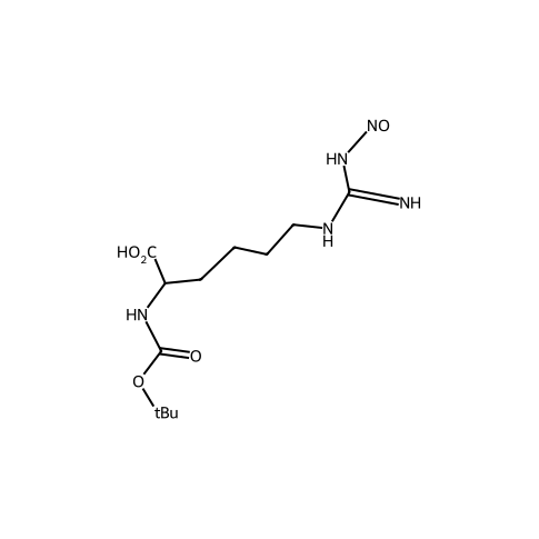 CC(C)(C)OC(=O)NC(CCCCNC(=N)NN=O)C(=O)O